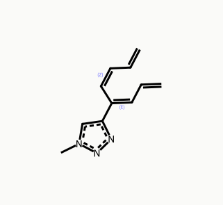 C=C/C=C\C(=C/C=C)c1cn(C)nn1